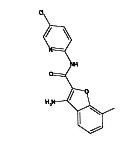 Cc1cccc2c(N)c(C(=O)Nc3ccc(Cl)cn3)oc12